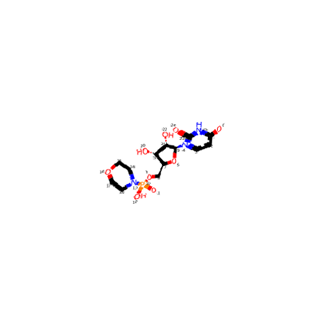 O=c1ccn([C@H]2O[C@@H](COP(=O)(O)N3CCOCC3)[C@H](O)[C@@H]2O)c(=O)[nH]1